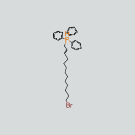 BrCCCCCCCCCCC=CC[PH](c1ccccc1)(c1ccccc1)c1ccccc1